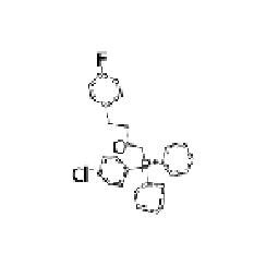 O=C(CCc1ccc(F)cc1)C[P+](c1ccccc1)(c1ccccc1)c1ccccc1.[Cl-]